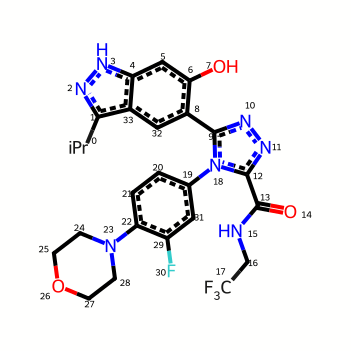 CC(C)c1n[nH]c2cc(O)c(-c3nnc(C(=O)NCC(F)(F)F)n3-c3ccc(N4CCOCC4)c(F)c3)cc12